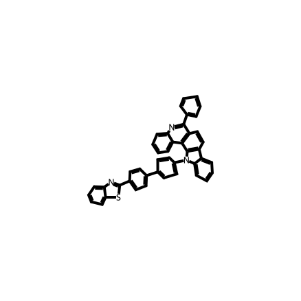 c1ccc(-c2nc3ccccc3c3c2ccc2c4ccccc4n(-c4ccc(-c5ccc(-c6nc7ccccc7s6)cc5)cc4)c23)cc1